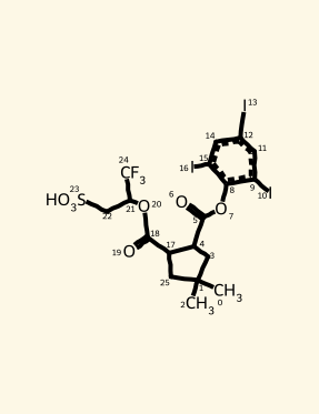 CC1(C)CC(C(=O)Oc2c(I)cc(I)cc2I)C(C(=O)OC(CS(=O)(=O)O)C(F)(F)F)C1